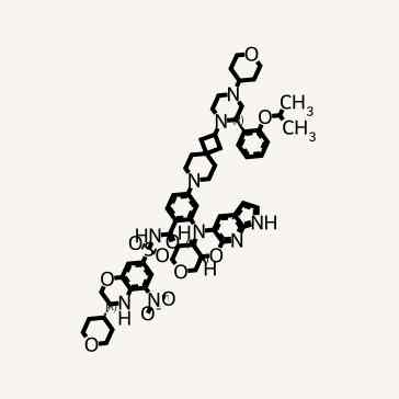 CC(C)Oc1ccccc1[C@@H]1CN(C2CCOCC2)CCN1C1CC2(CCN(c3ccc(C(=O)NS(=O)(=O)c4cc5c(c([N+](=O)[O-])c4)N[C@H](C4CCOCC4)CO5)c(N4c5cc6cc[nH]c6nc5O[C@H]5COCC[C@@H]54)c3)CC2)C1